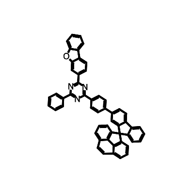 c1ccc(-c2nc(-c3ccc(-c4ccc5c(c4)C4(c6ccccc6-5)c5cccc6ccc7cccc4c7c56)cc3)nc(-c3ccc4c(c3)oc3ccccc34)n2)cc1